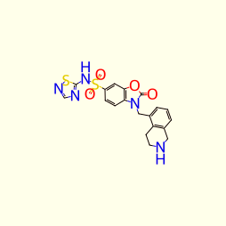 O=c1oc2cc(S(=O)(=O)Nc3ncns3)ccc2n1Cc1cccc2c1CCNC2